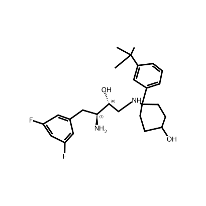 CC(C)(C)c1cccc(C2(NC[C@@H](O)[C@@H](N)Cc3cc(F)cc(F)c3)CCC(O)CC2)c1